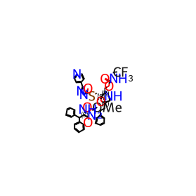 COC(=O)N(C(=O)[C@@H](N)C(c1ccccc1)c1ccccc1)c1ccccc1CC[C@@H]1CN[C@H](COC(=O)NCC(F)(F)F)[C@@H](CSc2nnc(-c3ccncc3)o2)O1